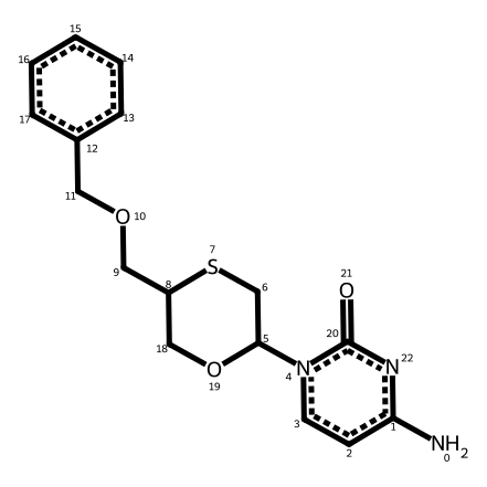 Nc1ccn(C2CSC(COCc3ccccc3)CO2)c(=O)n1